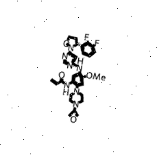 C=CC(=O)Nc1cc(Nc2cc(N3OCC[C@@H]3c3cccc(F)c3F)ncn2)c(OC)cc1N1CCN(C2COC2)CC1